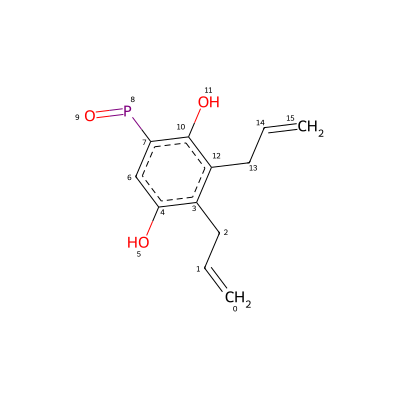 C=CCc1c(O)cc(P=O)c(O)c1CC=C